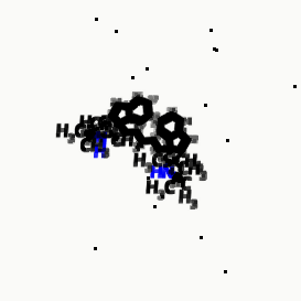 CC(C)(C)N[Si](C)(C)C1(CCCCCC2([Si](C)(C)NC(C)(C)C)[C]=Cc3ccccc32)[C]=Cc2ccccc21